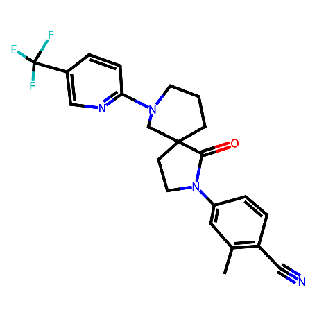 Cc1cc(N2CCC3(CCCN(c4ccc(C(F)(F)F)cn4)C3)C2=O)ccc1C#N